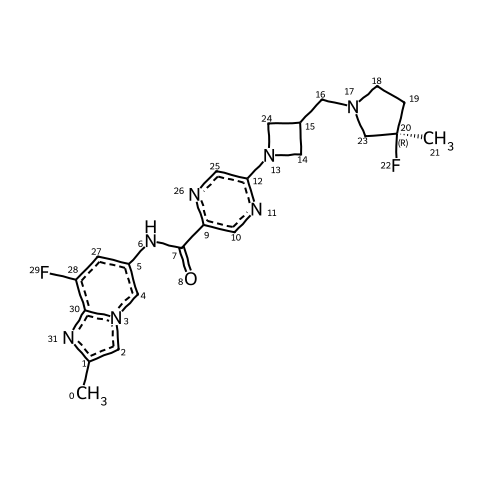 Cc1cn2cc(NC(=O)c3cnc(N4CC(CN5CC[C@@](C)(F)C5)C4)cn3)cc(F)c2n1